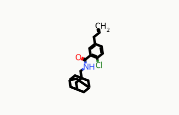 C=CCc1ccc(Cl)c(C(=O)NCC23CC4CC(CC(C4)C2)C3)c1